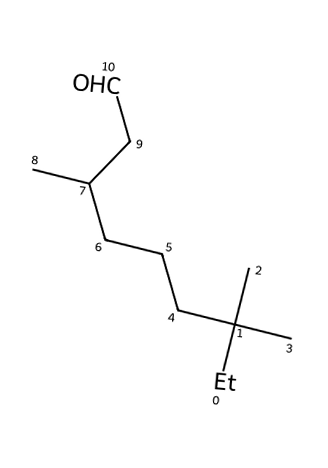 CCC(C)(C)CCCC(C)CC=O